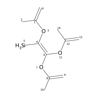 C=C(C)OC([SiH3])=C(OC(=C)C)OC(=C)C